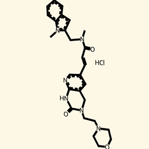 CN(Cc1cc2ccccc2n1C)C(=O)/C=C/c1cnc2c(c1)CN(CCN1CCOCC1)C(=O)N2.Cl